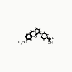 COc1ccc(CN2CCC(N3CCN(C(=O)O)CC3)C2=O)cc1